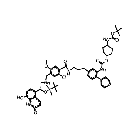 COc1cc(C(=O)NCCCc2ccc(-c3ccccc3)c(NC(=O)O[C@H]3CC[C@H](NC(=O)OC(C)(C)C)CC3)c2)c(Cl)cc1CNC[C@H](O[Si](C)(C)C(C)(C)C)c1ccc(O)c2[nH]c(=O)ccc12